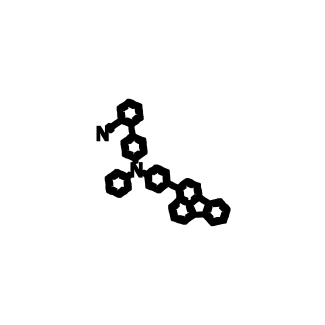 N#Cc1ccccc1-c1ccc(N(c2ccccc2)c2ccc(-c3ccc4c5c(cccc35)-c3ccccc3-4)cc2)cc1